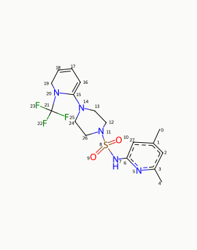 Cc1cc(C)nc(NS(=O)(=O)N2CCN(C3=CC=CCN3C(F)(F)F)CC2)c1